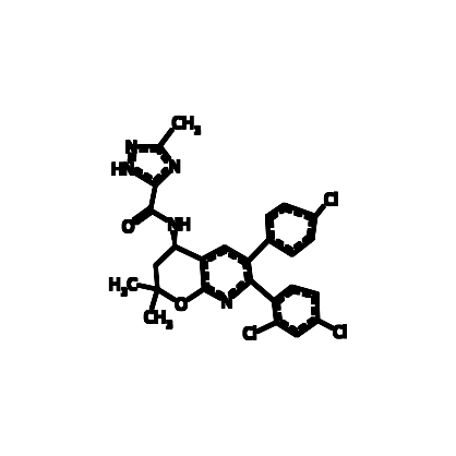 Cc1n[nH]c(C(=O)N[C@@H]2CC(C)(C)Oc3nc(-c4ccc(Cl)cc4Cl)c(-c4ccc(Cl)cc4)cc32)n1